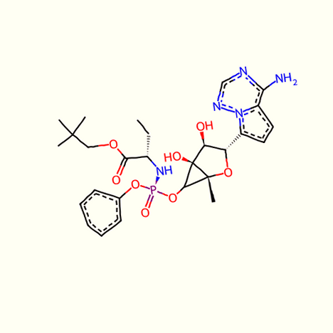 CC[C@H](N[P@@](=O)(Oc1ccccc1)OC1[C@@]2(C)O[C@@H](c3ccc4c(N)ncnn34)[C@H](O)[C@@]12O)C(=O)OCC(C)(C)C